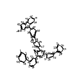 c1ccc(-c2cccc(-c3nc(-c4cccc(-c5ccccc5)c4)nc(-c4ccc5c(c4)oc4cc(-n6c7ccccc7c7ccccc76)ccc45)n3)c2)cc1